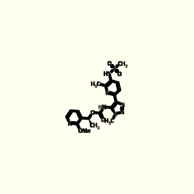 COc1ncccc1[C@@H](C)OC(=O)Nc1c(-c2ccc(NS(C)(=O)=O)c(C)n2)nnn1C